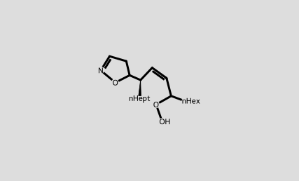 CCCCCCC[C@H](/C=C\C(CCCCCC)OO)C1CC=NO1